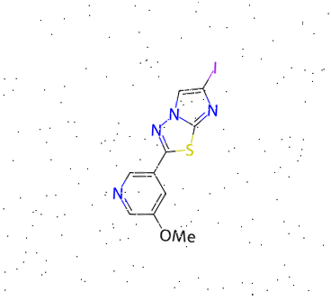 COc1cncc(-c2nn3cc(I)nc3s2)c1